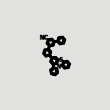 N#Cc1cc(-c2ccccc2)cc(-c2cccc(-c3cc4c5c(c3)c3ccccc3n5-c3ccccc3S4)c2)c1